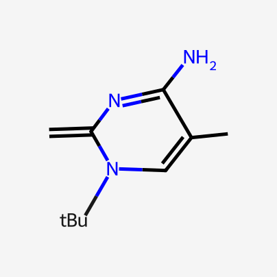 C=C1N=C(N)C(C)=CN1C(C)(C)C